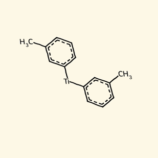 Cc1ccc[c]([Ti][c]2cccc(C)c2)c1